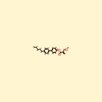 C=C(COC)C(=O)Oc1ccc(-c2ccc(CCCCC)cc2)cc1